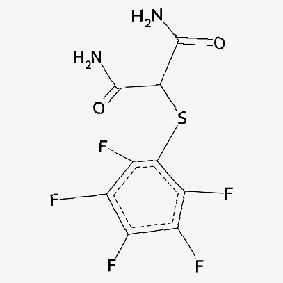 NC(=O)C(Sc1c(F)c(F)c(F)c(F)c1F)C(N)=O